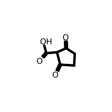 O=C(O)C1C(=O)CCC1=O